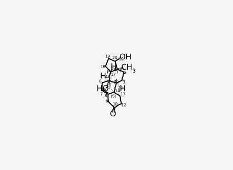 C[C@]12CC[C@@H]3[C@@H](CC=C4CC(=O)CC[C@@]43CO)[C@@H]1CCC2O